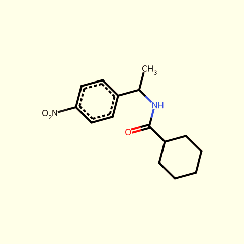 CC(NC(=O)C1CCCCC1)c1ccc([N+](=O)[O-])cc1